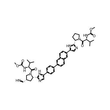 COC(=O)N[C@H](C(=O)N1CCC[C@H]1c1ncc(-c2ccc3cc(-c4ccc(-c5cnc([C@@H]6C[C@H](C=N)CN6C(=O)[C@@H](NC(=O)OC)C(C)C)[nH]5)cc4)ccc3c2)[nH]1)C(C)C